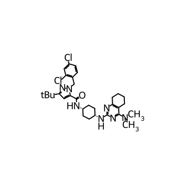 CN(C)c1nc(N[C@H]2CC[C@@H](NC(=O)c3cc(C(C)(C)C)nn3Cc3ccc(Cl)cc3Cl)CC2)nc2c1CCCC2